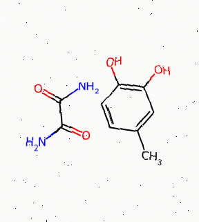 Cc1ccc(O)c(O)c1.NC(=O)C(N)=O